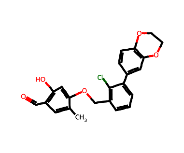 Cc1cc(C=O)c(O)cc1OCc1cccc(-c2ccc3c(c2)OCCO3)c1Cl